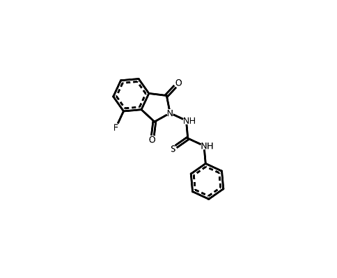 O=C1c2cccc(F)c2C(=O)N1NC(=S)Nc1ccccc1